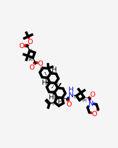 C=C(C)[C@@H]1CC[C@]2(C(=O)N[C@H]3C[C@@H](C(=O)N4CCOCC4)C3(C)C)CC[C@]3(C)[C@H](CC[C@@H]4[C@@]5(C)CC[C@H](OC(=O)[C@@H]6C[C@H](C(=O)OC(C)(C)C)C6(C)C)C(C)(C)[C@@H]5CC[C@]43C)[C@@H]12